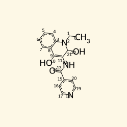 CCN1c2ccccc2C(O)=C(NC(=O)c2ccncc2)C1O